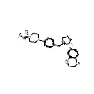 CN=S1(=O)CCN(c2ccc(CN3CCC[C@@H]3c3ccc4c(c3)OCCO4)cc2)CC1